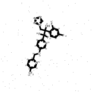 OC(Cn1cnnn1)(c1ccc(F)cc1F)C(F)(F)c1ccc(OCc2ccc(C(F)(F)F)cn2)cn1